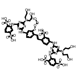 O=S(=O)(O)c1ccc(S(=O)(=O)O)c(Nc2nc(Nc3ccc(/C=C/c4ccc(Nc5nc(Nc6cc(S(=O)(=O)O)ccc6S(=O)(=O)O)nc(N(CCO)CCO)n5)cc4S(=O)(=O)O)c(SOOO)c3)nc(N(CCO)CCO)n2)c1